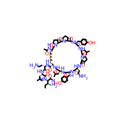 CC[C@H](C)[C@H](NC(=O)[C@H](CC(C)C)NC(=O)[C@H](CCN)NC(=O)[C@@H]1CSSC[C@H](NC(C)=O)C(=O)N2CCC[C@H]2C(=O)N2CCC[C@H]2C(=O)N[C@@H](Cc2ccc(O)cc2)C(=O)N[C@@H](CC(C)C)C(=O)N2CCC[C@H]2C(=O)N[C@@H](CCN)C(=O)N[C@@H](Cc2ccc(O)cc2)C(=O)N[C@@H](CC(C)C)C(=O)N1)C(N)=O